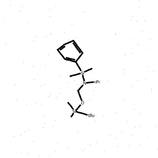 CCCN([CH]O[Si](C)(C)C(C)(C)C)[Si](C)(C)c1ccccc1